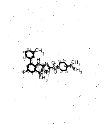 Cc1cc(-c2cc(F)cc(C(C)C)c2Nc2nc(S(=O)(=O)N3CCC(N(C)C)CC3)n[nH]2)ccn1